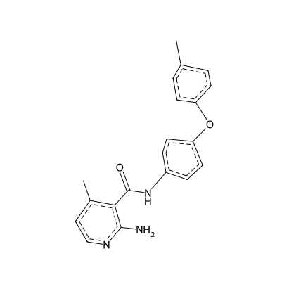 Cc1ccc(Oc2ccc(NC(=O)c3c(C)ccnc3N)cc2)cc1